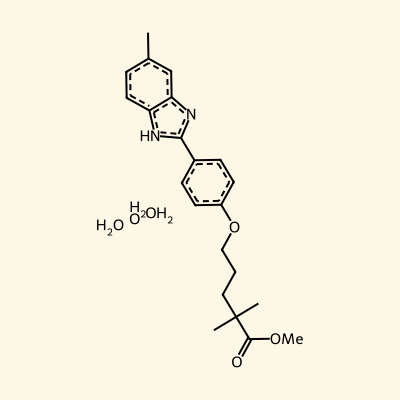 COC(=O)C(C)(C)CCCOc1ccc(-c2nc3cc(C)ccc3[nH]2)cc1.O.O.O